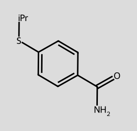 CC(C)Sc1ccc(C(N)=O)cc1